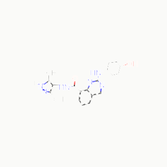 CCn1nc(C)c(CNC(=O)c2cccc3cnc(N[C@H]4CC[C@H](O)CC4)nc23)c1C